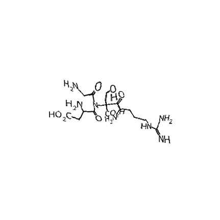 N=C(N)NCCCC(N)C(=O)C(CO)(C(=O)O)N(C(=O)CN)C(=O)C(N)CC(=O)O